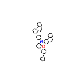 c1ccc(-c2ccc3oc4c(N(c5ccc(-c6cccc7c6ccc6ccccc67)cc5)c5ccc6ccc7ccccc7c6c5)cccc4c3c2)cc1